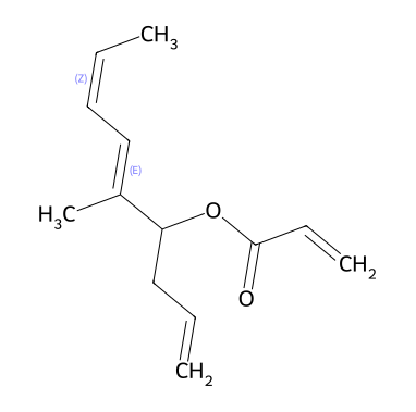 C=CCC(OC(=O)C=C)/C(C)=C/C=C\C